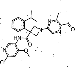 COc1cc(Cl)ncc1NC(=O)C1(c2ccccc2C(C)C)CN(c2cnc([C]=O)c(C)n2)C1